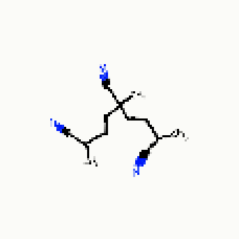 CC(C#N)CCC(C)(C#N)CCC(C)C#N